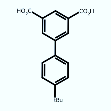 CC(C)(C)c1ccc(-c2cc(C(=O)O)cc(C(=O)O)c2)cc1